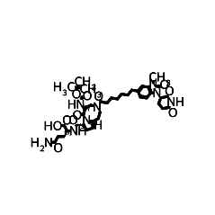 Cn1c(=O)n(C2CCC(=O)NC2=O)c2ccc(CCCCCCC(=O)N3CC[C@H]4CC[C@@H](C(=O)N[C@@H](CCC(N)=O)C(=O)O)N4C(=O)[C@@H](NC(=O)OC(C)(C)C)C3)cc21